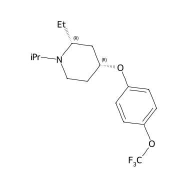 CC[C@@H]1C[C@H](Oc2ccc(OC(F)(F)F)cc2)CCN1C(C)C